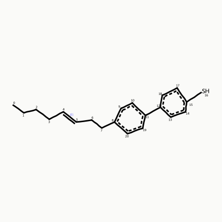 CCCC/C=C/CCc1ccc(-c2ccc(S)cc2)cc1